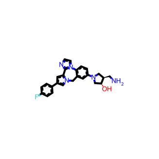 NC[C@@H]1CN(c2ccc3c(c2)Cn2cc(-c4ccc(F)cc4)cc2-c2nccn2-3)C[C@H]1O